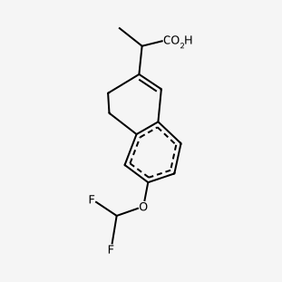 CC(C(=O)O)C1=Cc2ccc(OC(F)F)cc2CC1